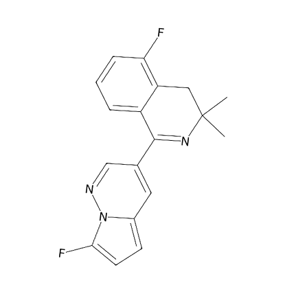 CC1(C)Cc2c(F)cccc2C(c2cnn3c(F)ccc3c2)=N1